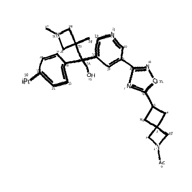 CC(=O)N1CC2(CC(c3nc(-c4cncc(C(O)(c5ccc(C(C)C)cc5)C5(C)CN(C)C5)c4)no3)C2)C1